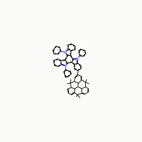 CC1(C)C2=CC=CC3C2B2C4C1=CC=CC4C(C)(C)C1C=C(c4ccc5c(c4)c4c6c(c7ccccc7n6-c6ccccc6)c6c(c7ccccc7n6-c6ccccc6)c4n5-c4ccccc4)C=C(C21)C3(C)C